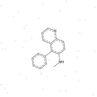 CNc1ccc2ncccc2c1-c1ccccc1